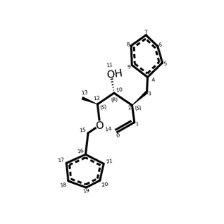 C=C[C@H](Cc1ccccc1)[C@@H](O)[C@H](C)OCc1ccccc1